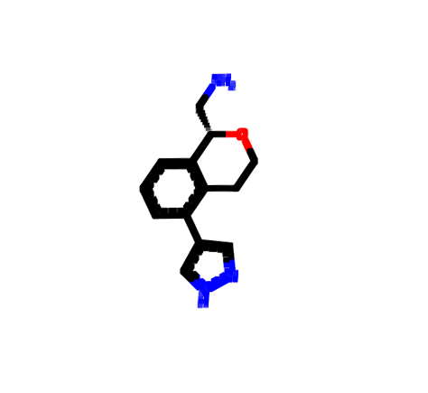 NC[C@@H]1OCCc2c(-c3cn[nH]c3)cccc21